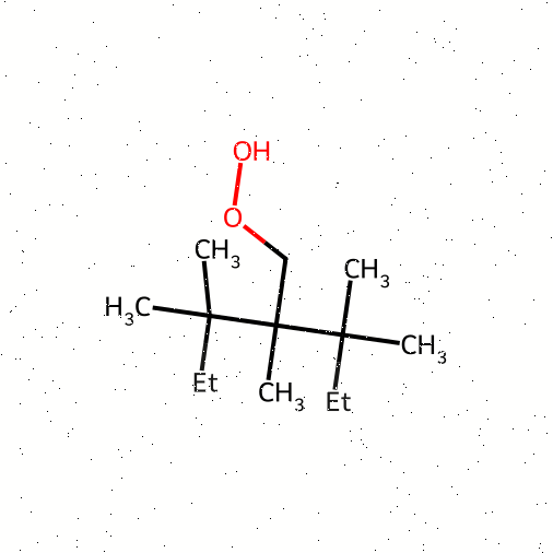 CCC(C)(C)C(C)(COO)C(C)(C)CC